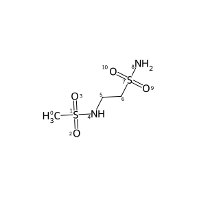 CS(=O)(=O)NCCS(N)(=O)=O